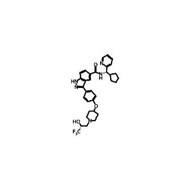 O=C(N[C@H](c1ccccn1)C1CCCC1)c1ccc2[nH]nc(-c3ccc(OC4CCN(C[C@@H](O)C(F)(F)F)CC4)cc3)c2c1